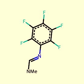 CNC=Nc1c(F)c(F)c(F)c(F)c1F